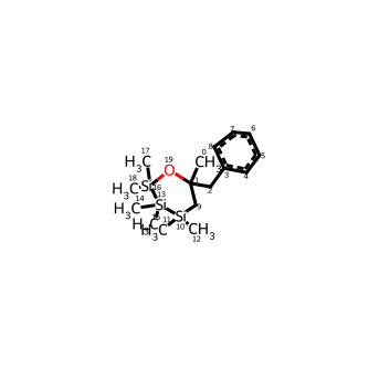 CC1(Cc2ccccc2)C[Si](C)(C)[Si](C)(C)[Si](C)(C)O1